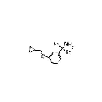 CCC(N)(CC)c1cccc(OCC2CC2)c1